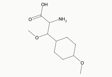 COC1CCC(C(OC)C(N)C(=O)O)CC1